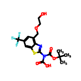 CC(C)(C)OC(=O)N(C(=O)O)c1nc2c(COCCO)cc(C(F)(F)F)cc2s1